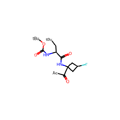 CC(=O)C(=O)C1(NC(=O)C(CC(C)(C)C)NC(=O)OC(C)(C)C)CC(F)C1